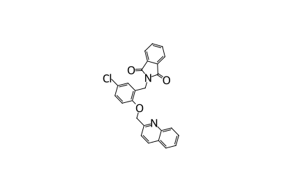 O=C1c2ccccc2C(=O)N1Cc1cc(Cl)ccc1OCc1ccc2ccccc2n1